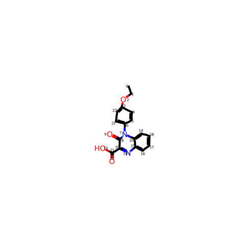 CCOc1ccc(-n2c(=O)c(C(=O)O)nc3ccccc32)cc1